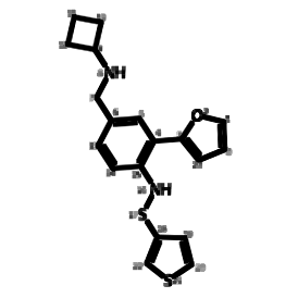 c1coc(-c2cc(CNC3CCC3)ccc2NSc2ccsc2)c1